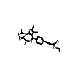 CCOC(=O)C#Cc1ccc(C2=N[C@@H](C)c3nnc(C)n3-c3sc(C)c(C)c32)cc1